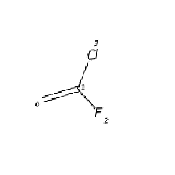 C=C(F)Cl